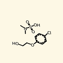 CN(C)S(=O)(=O)O.OCCOc1ccc(Cl)cc1